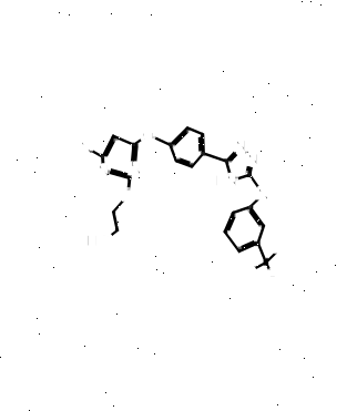 Nc1cc(Oc2ccc(-c3nnc(Nc4cccc(C(F)(F)F)c4)[nH]3)cc2)nc(SCCO)n1